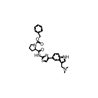 CN(C)Cc1c[nH]c2ccc(-c3csc(NC(=O)C4CCCN4C(=O)OCc4ccccc4)n3)cc12